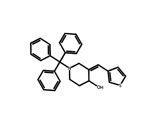 OC1CCN(C(c2ccccc2)(c2ccccc2)c2ccccc2)CC1=Cc1ccsc1